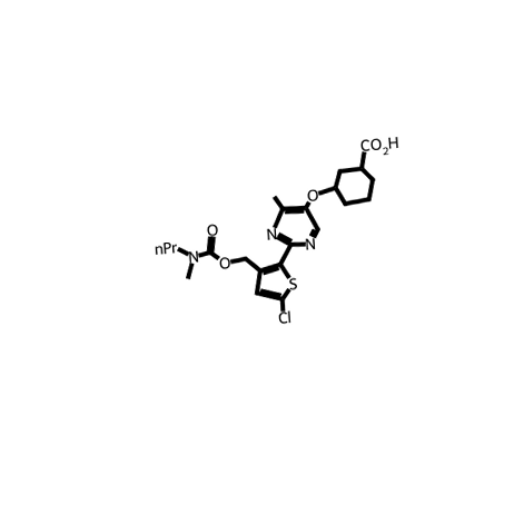 CCCN(C)C(=O)OCc1cc(Cl)sc1-c1ncc(OC2CCCC(C(=O)O)C2)c(C)n1